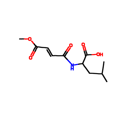 COC(=O)C=CC(=O)NC(CC(C)C)C(=O)O